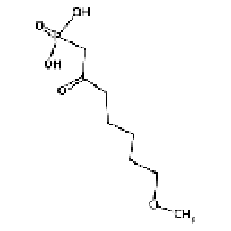 COCCCCCC(=O)CP(=O)(O)O